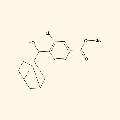 CC(C)(C)OC(=O)c1ccc(C(O)C2C3CC4CC(C3)CC2C4)c(Cl)c1